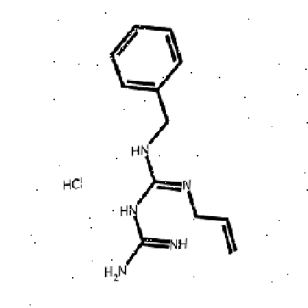 C=CCN=C(NCc1ccccc1)NC(=N)N.Cl